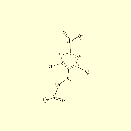 NC(=O)NSc1c(Cl)cc([N+](=O)[O-])cc1Cl